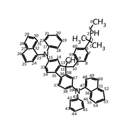 CCPC(C)(C)c1ccc(CC2(C)c3cc(N(c4ccccc4)c4cccc5ccccc45)ccc3-c3ccc(N(c4ccccc4)c4cccc5ccccc45)cc32)cc1